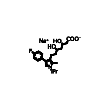 Cc1c(CCC(O)CC(O)CC(=O)[O-])c(-c2ccc(F)cc2)cn1C(C)C.[Na+]